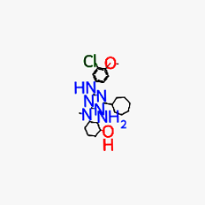 COc1ccc(NC2=NC(N(C)C3CCCC(O)C3)N(N)C(C3CCCCCC3)=N2)cc1Cl